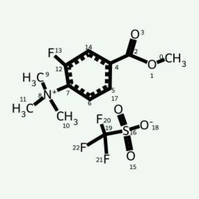 COC(=O)c1ccc([N+](C)(C)C)c(F)c1.O=S(=O)([O-])C(F)(F)F